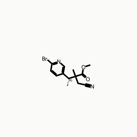 COC(=O)C(C)(CC#N)[C@H](C)c1ccc(Br)nc1